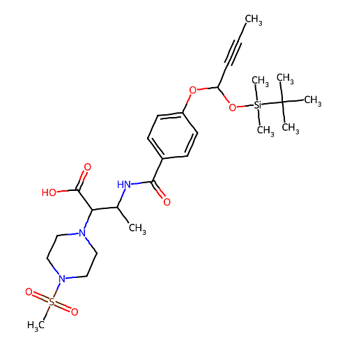 CC#CC(Oc1ccc(C(=O)NC(C)C(C(=O)O)N2CCN(S(C)(=O)=O)CC2)cc1)O[Si](C)(C)C(C)(C)C